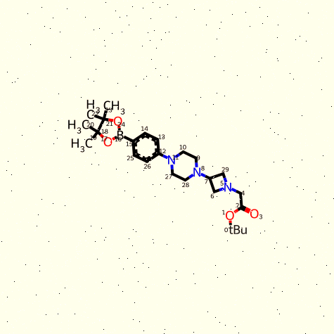 CC(C)(C)OC(=O)CN1CC(N2CCN(c3ccc(B4OC(C)(C)C(C)(C)O4)cc3)CC2)C1